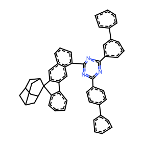 c1ccc(-c2ccc(-c3nc(-c4cccc(-c5ccccc5)c4)nc(-c4cccc5cc6c(cc45)-c4ccccc4C64C5CC6CC(C5)CC4C6)n3)cc2)cc1